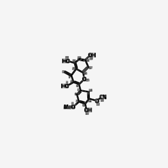 C=C1C(O)=C(c2cc(OC)c(O)c(OC#N)c2)Oc2cc(O)cc(O)c21